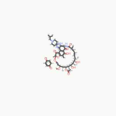 CO[C@H]1/C=C/O[C@@]2(C)Oc3c(C)c(O)c4c(c3C2=O)C2=NC3(CCN(CC(C)C)CC3)NC2=C(NC(=O)/C(C)=C\C=C\[C@H](C)[C@H](O)[C@@H](C)[C@@H](O)[C@@H](C)[C@H](OC(C)=O)[C@@H]1C)C4=O.O=C1C=CC(=O)C=C1